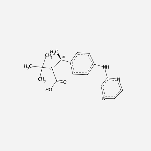 C[C@@H](c1ccc(Nc2cnccn2)cc1)N(C(=O)O)C(C)(C)C